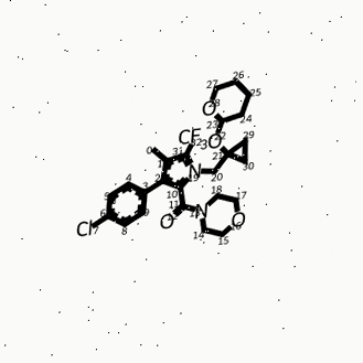 Cc1c(-c2ccc(Cl)cc2)c(C(=O)N2CCOCC2)n(CC2(OC3CCCCO3)CC2)c1C(F)(F)F